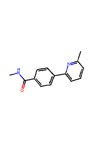 CNC(=O)c1ccc(-c2cccc(C)n2)cc1